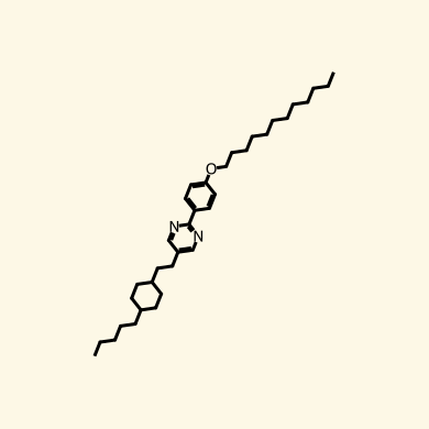 CCCCCCCCCCCCOc1ccc(-c2ncc(CCC3CCC(CCCCC)CC3)cn2)cc1